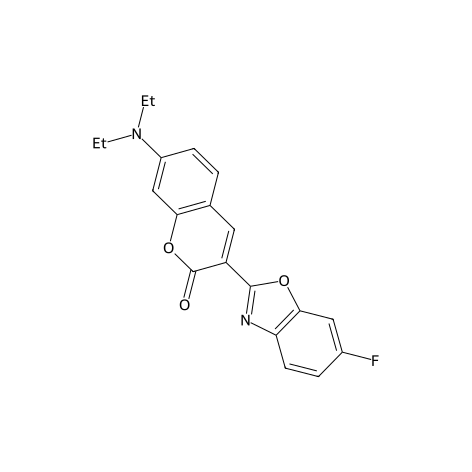 CCN(CC)c1ccc2cc(-c3nc4ccc(F)cc4o3)c(=O)oc2c1